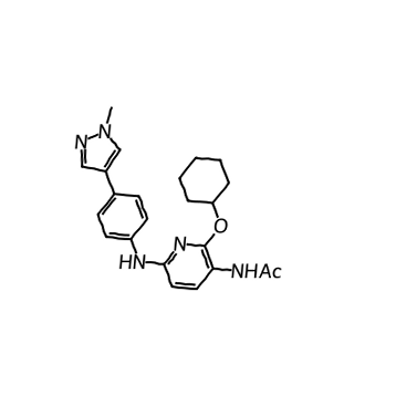 CC(=O)Nc1ccc(Nc2ccc(-c3cnn(C)c3)cc2)nc1OC1CCCCC1